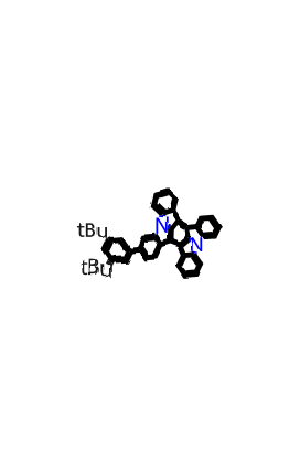 CC(C)(C)c1cc(-c2ccc3c4c5c6ccccc6n6c7ccccc7c(c7c8ccccc8n(c3c2)c74)c56)cc(C(C)(C)C)c1